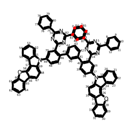 c1ccc(-c2nc(-c3ccccc3)nc(-c3cc(-n4c5ccccc5c5c6oc7ccccc7c6ccc54)ccc3-c3cccc(-c4ccc(-n5c6ccccc6c6c7oc8ccccc8c7ccc65)cc4-c4nc(-c5ccccc5)nc(-c5ccccc5)n4)c3)n2)cc1